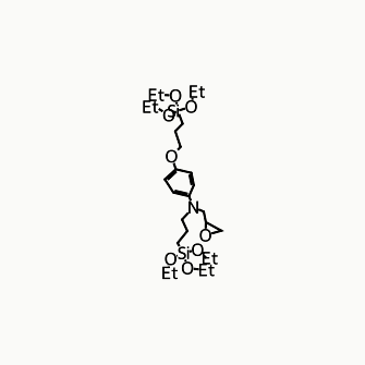 CCO[Si](CCCOc1ccc(N(CCC[Si](OCC)(OCC)OCC)CC2CO2)cc1)(OCC)OCC